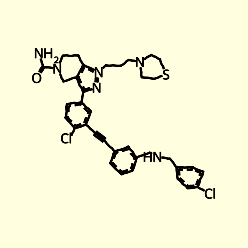 NC(=O)N1CCc2c(c(-c3ccc(Cl)c(C#Cc4cccc(CNCc5ccc(Cl)cc5)c4)c3)nn2CCCN2CCSCC2)C1